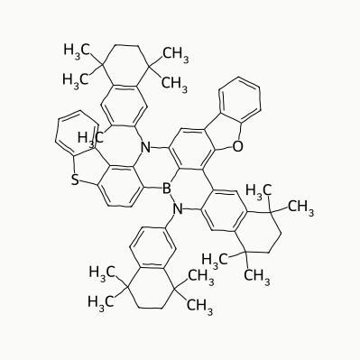 Cc1cc2c(cc1N1c3cc4c(oc5ccccc54)c4c3B(c3ccc5sc6ccccc6c5c31)N(c1ccc3c(c1)C(C)(C)CCC3(C)C)c1cc3c(cc1-4)C(C)(C)CCC3(C)C)C(C)(C)CCC2(C)C